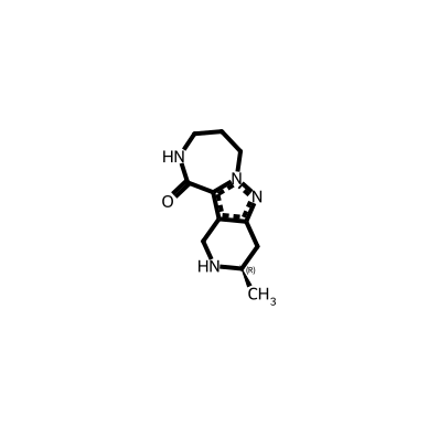 C[C@@H]1Cc2nn3c(c2CN1)C(=O)NCCC3